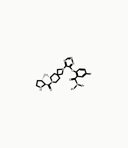 CC(C)N(C(=O)c1cc(F)ccc1Oc1nncnc1N1CC2(CCN(C(=O)[C@H]3NCC[C@@H]3C)CC2)C1)C(C)C